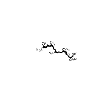 COC(CO)COCC=C(C)CCC=C(C)CCC=C(C)CCC=C(C)C